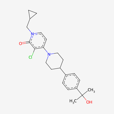 CC(C)(O)c1ccc(C2CCN(c3ccn(CC4CC4)c(=O)c3Cl)CC2)cc1